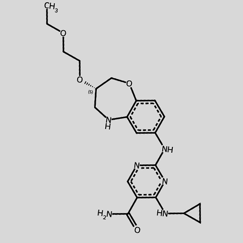 CCOCCO[C@H]1CNc2cc(Nc3ncc(C(N)=O)c(NC4CC4)n3)ccc2OC1